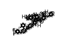 Cc1ccccc1[C@@H]1CN(Cc2ccc(F)c(F)c2)CCN1C1CC2(CCN(c3ncc(C(=O)NS(=O)(=O)c4ccc(NCC5CCOCC5)c([N+](=O)[O-])c4)c(N4c5cc6cc[nH]c6nc5O[C@H]5COCC[C@@H]54)n3)CC2)C1